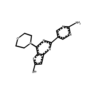 CCCc1cc2nc(-c3cnc(N)nc3)nc(N3CCOCC3)c2s1